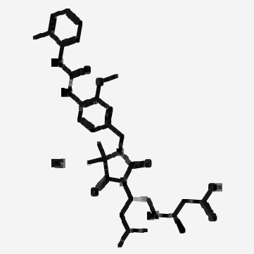 COc1cc(CN2C(=O)N([C@H](CN[C@H](C)CC(=O)O)CC(C)C)C(=O)C2(C)C)ccc1NC(=O)Nc1ccccc1C.Cl